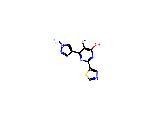 CC(C)c1c(O)nc(-c2cncs2)nc1-c1cnn(C)c1